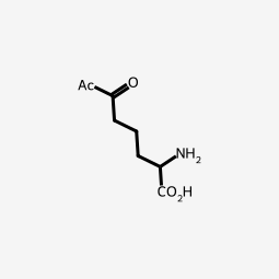 CC(=O)C(=O)CCCC(N)C(=O)O